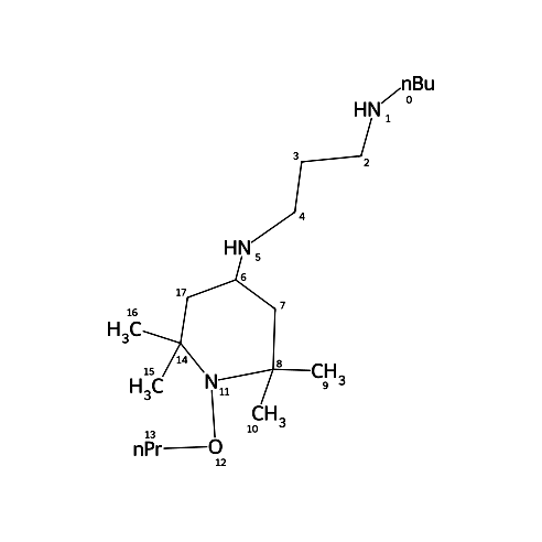 CCCCNCCCNC1CC(C)(C)N(OCCC)C(C)(C)C1